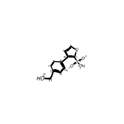 O=S(=O)(O)c1sccc1-c1ccc(CO)cc1